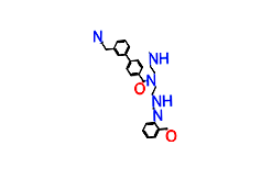 CNCCN(CCN/C=N/c1ccccc1C=O)C(=O)c1ccc(-c2cccc(CC#N)c2)cc1